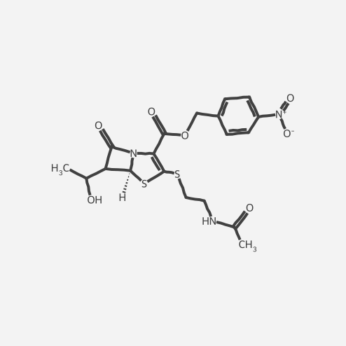 CC(=O)NCCSC1=C(C(=O)OCc2ccc([N+](=O)[O-])cc2)N2C(=O)C(C(C)O)[C@@H]2S1